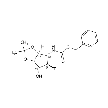 CC1(C)OC2[C@@H](O)[C@H](F)[C@@H](NC(=O)OCc3ccccc3)[C@@H]2O1